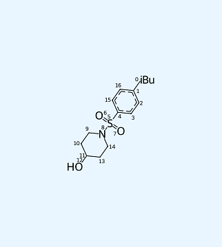 CCC(C)c1ccc(S(=O)(=O)N2CCC(O)CC2)cc1